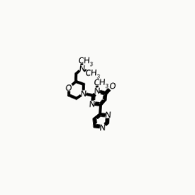 CN(C)CC1CN(c2nc(-c3ccncn3)cc(=O)n2C)CCO1